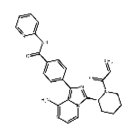 C=CC(=O)N1CCCC[C@H]1c1nc(-c2ccc(C(=O)Nc3ccccn3)cc2)c2c(N)nccn12